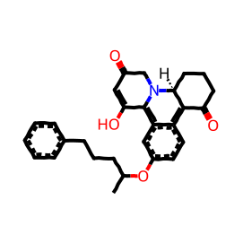 CC(CCCc1ccccc1)Oc1ccc2c(c1)=C1C(O)=CC(=O)CN1[C@H]1CCCC(=O)C=21